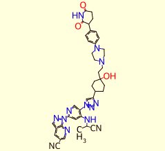 CC(C#N)Nc1cc(-n2ncc3cc(C#N)cnc32)ncc1-n1cc(C2CCC(O)(CCN3CCN(c4ccc(C5CCC(=O)NC5=O)cc4)CC3)CC2)nn1